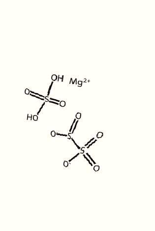 O=S(=O)(O)O.O=S([O-])S(=O)(=O)[O-].[Mg+2]